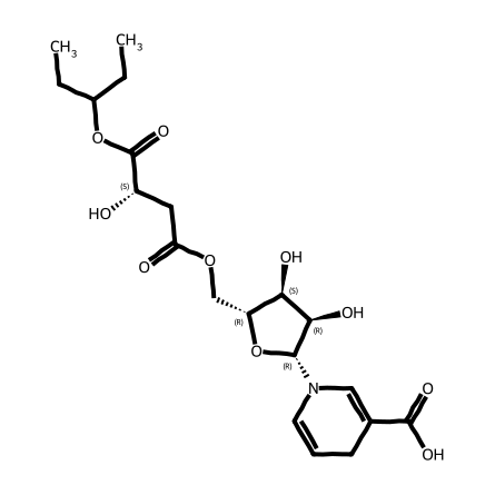 CCC(CC)OC(=O)[C@@H](O)CC(=O)OC[C@H]1O[C@@H](N2C=CCC(C(=O)O)=C2)[C@H](O)[C@@H]1O